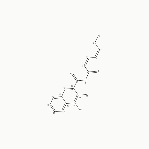 C=C(/C=C\C=C/CC)SC(=C)c1cc2ccccc2c(C)c1C